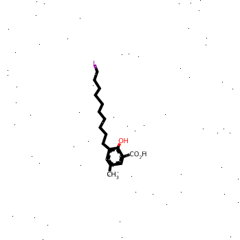 Cc1cc(CCCCCCCCCCI)c(O)c(C(=O)O)c1